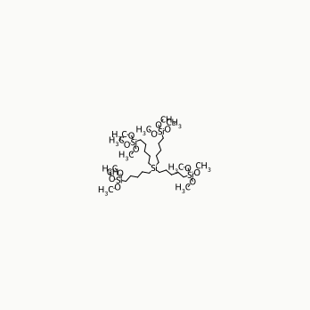 CO[Si](CCCCC[Si](CCCCC[Si](OC)(OC)OC)(CCCCC[Si](OC)(OC)OC)CCCCC[Si](OC)(OC)OC)(OC)OC